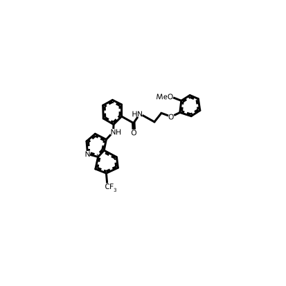 COc1ccccc1OCCNC(=O)c1ccccc1Nc1ccnc2cc(C(F)(F)F)ccc12